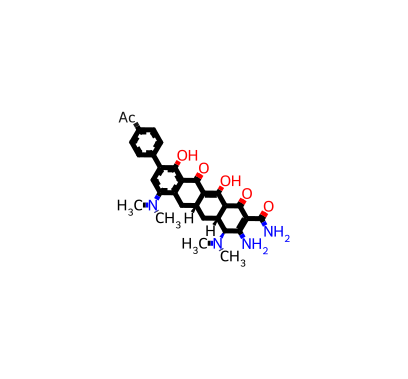 CC(=O)c1ccc(-c2cc(N(C)C)c3c(c2O)C(=O)C2=C(O)C4C(=O)C(C(N)=O)=C(N)[C@@H](N(C)C)[C@@H]4C[C@@H]2C3)cc1